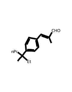 CCCC(C)(CC)c1ccc(C=C(C)C=O)cc1